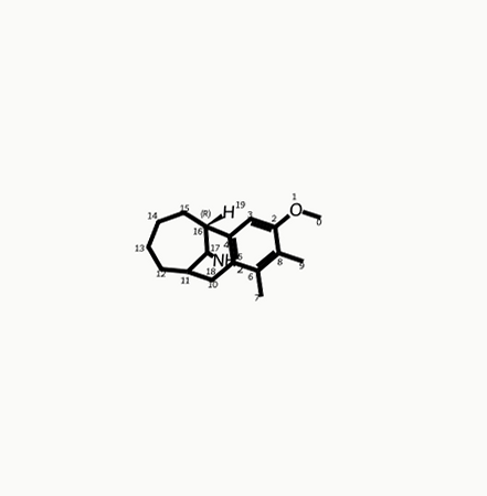 COc1cc2c(c(C)c1C)CC1CCCC[C@H]2C1N